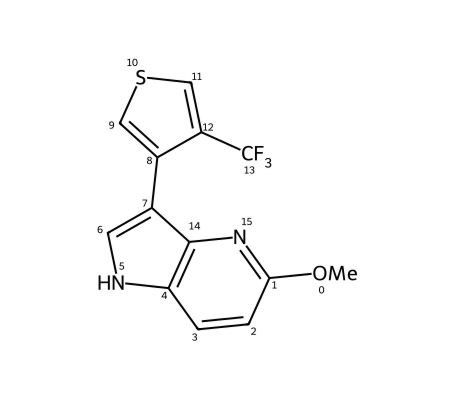 COc1ccc2[nH]cc(-c3cscc3C(F)(F)F)c2n1